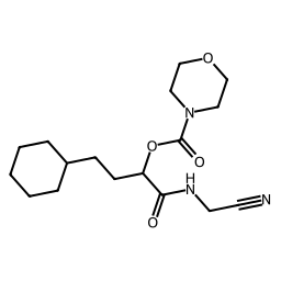 N#CCNC(=O)C(CCC1CCCCC1)OC(=O)N1CCOCC1